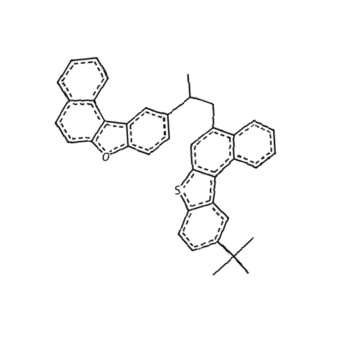 CC(Cc1cc2sc3ccc(C(C)(C)C)cc3c2c2ccccc12)c1ccc2oc3ccc4ccccc4c3c2c1